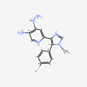 Cn1cnc(-c2cc(NN)c(N)cn2)c1-c1ccc(F)cc1